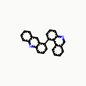 [c]1ccc(-c2cccc3ncc4ccccc4c23)c2cc3ccccc3nc12